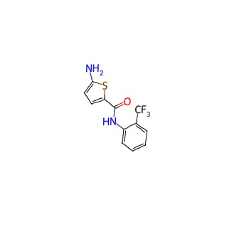 Nc1ccc(C(=O)Nc2ccccc2C(F)(F)F)s1